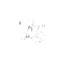 CN1[SiH2]N(C)[SiH](C)N(C)[SiH2]N(C)[SiH]1C